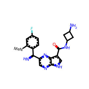 CNc1cc(F)ccc1C(=N)c1cnc2[nH]cc(C(=O)NC3CC(N)C3)c2n1